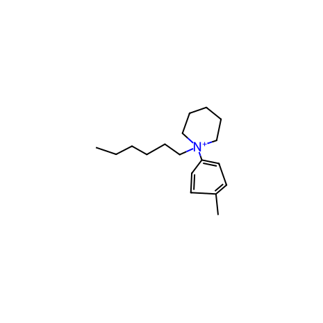 CCCCCC[N+]1(c2ccc(C)cc2)CCCCC1